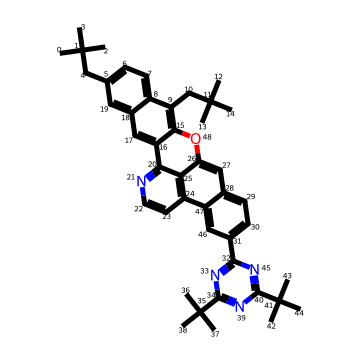 CC(C)(C)Cc1ccc2c(CC(C)(C)C)c3c(cc2c1)-c1nccc2c1c(cc1ccc(-c4nc(C(C)(C)C)nc(C(C)(C)C)n4)cc12)O3